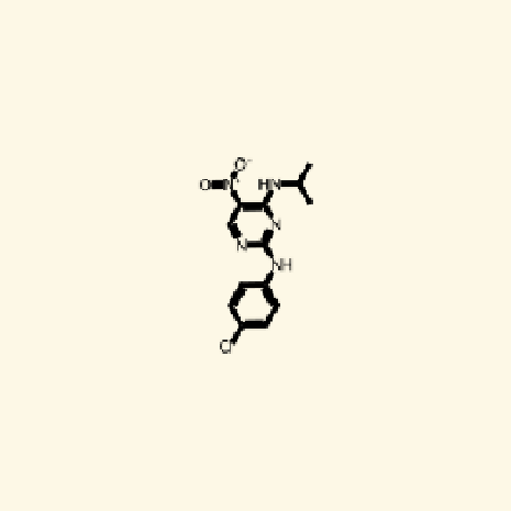 CC(C)Nc1nc(Nc2ccc(Cl)cc2)ncc1[N+](=O)[O-]